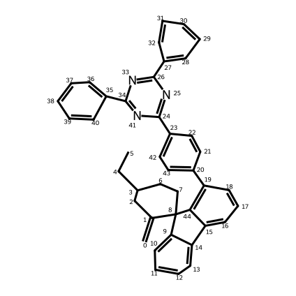 C=C1CC(CC)CCC12c1ccccc1-c1cccc(-c3ccc(-c4nc(-c5ccccc5)nc(-c5ccccc5)n4)cc3)c12